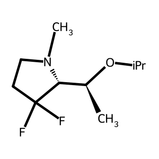 CC(C)O[C@@H](C)[C@H]1N(C)CCC1(F)F